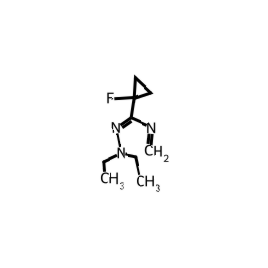 C=N/C(=N\N(CC)CC)C1(F)CC1